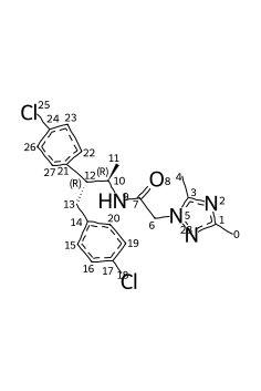 Cc1nc(C)n(CC(=O)N[C@H](C)[C@H](Cc2ccc(Cl)cc2)c2ccc(Cl)cc2)n1